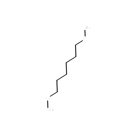 [CH2]CCOCCCCCCOCCC